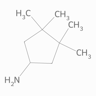 CC1(C)CC(N)CC1(C)C